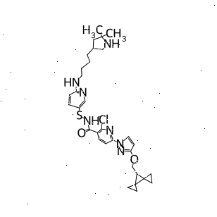 CC1(C)CC(CCCCNc2ccc(SNC(=O)c3ccc(-n4ccc(OCC5C6(CC6)C56CC6)n4)nc3Cl)cn2)CN1